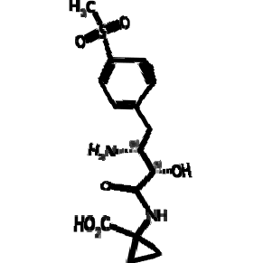 CS(=O)(=O)c1ccc(C[C@@H](N)[C@H](O)C(=O)NC2(C(=O)O)CC2)cc1